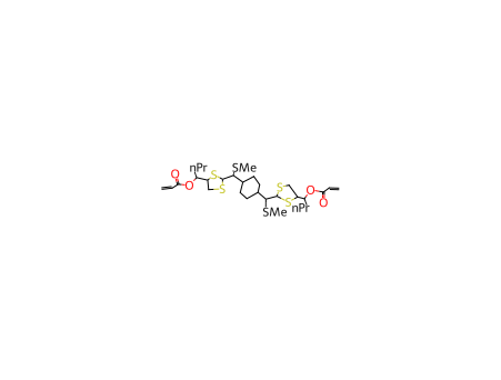 C=CC(=O)OC(CCC)C1CSC(C(SC)C2CCC(C(SC)C3SCC(C(CCC)OC(=O)C=C)S3)CC2)S1